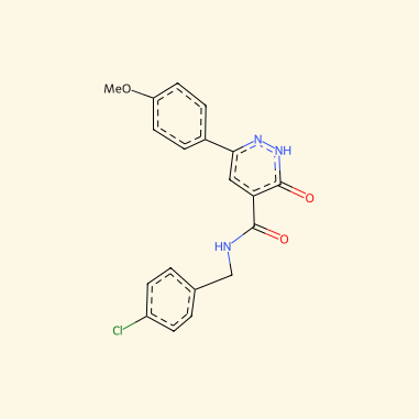 COc1ccc(-c2cc(C(=O)NCc3ccc(Cl)cc3)c(=O)[nH]n2)cc1